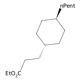 CCCCC[C@H]1CC[C@H](CCC(=O)OCC)CC1